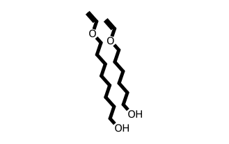 C=COCCCCCCCCO.C=COCCCCCCO